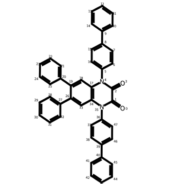 O=c1c(=O)n(-c2ccc(-c3ccccc3)cc2)c2cc(-c3ccccc3)c(-c3ccccc3)cc2n1-c1ccc(-c2ccccc2)cc1